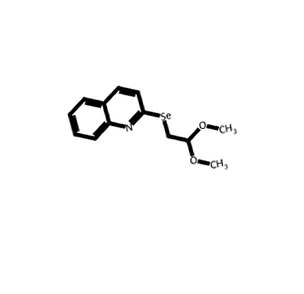 COC(C[Se]c1ccc2ccccc2n1)OC